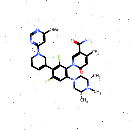 COc1cc(N2CCC=C(c3c(F)cc(N4C[C@@H](C)N(C)[C@@H](C)C4)c(-n4cc(C(N)=O)c(C(F)(F)F)cc4=O)c3F)C2)ncn1